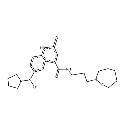 O=C(NCCCN1CCCCCC1)c1cc(=O)[nH]c2ccc([S+]([O-])N3CCCC3)cc12